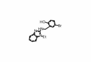 CCn1c(NCc2cc(Br)ccc2O)nc2ccccc21